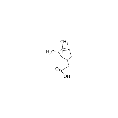 CC1C2CC(CC(=O)O)C(C2)C1C